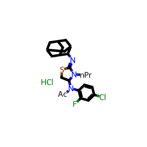 CCCN1C(=NC2C3CC4CC(C3)CC2C4)SCC1N(C(C)=O)c1ccc(Cl)cc1F.Cl